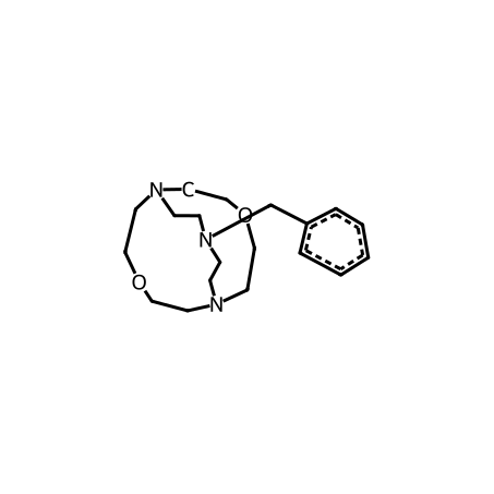 c1ccc(CN2CCN3CCOCCN(CCOCC3)CC2)cc1